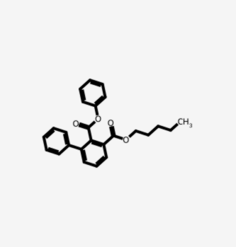 CCCCCOC(=O)c1cccc(-c2ccccc2)c1C(=O)Oc1ccccc1